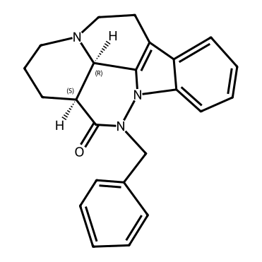 O=C1[C@H]2CCCN3CCc4c(n(c5ccccc45)N1Cc1ccccc1)[C@@H]23